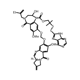 C=C(CC)CN1CC(O)N(C(=O)OCC(C)(C)SSc2nc3cncnc3[nH]2)c2cc(OCOc3cc4c(cc3OC)C(=O)N3CC(=C)C[C@H]3C=N4)c(OC)cc2C1=O